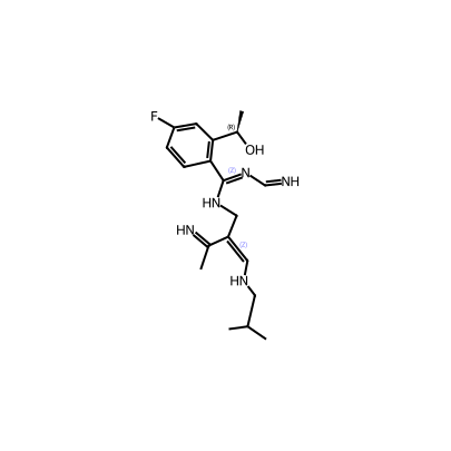 CC(=N)/C(=C\NCC(C)C)CN/C(=N\C=N)c1ccc(F)cc1[C@@H](C)O